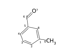 Cc1cccc(I=O)c1